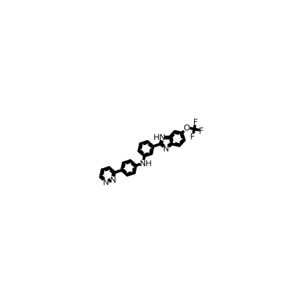 FC(F)(F)Oc1ccc2nc(-c3cccc(Nc4ccc(-c5cccnn5)cc4)c3)[nH]c2c1